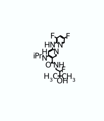 CC(C)Nc1cc(Nc2ncc(F)cc2F)ncc1C(=O)NCC(F)C(C)(C)O